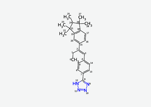 CCC(=Cc1ccc(-c2nnn[nH]2)cc1)c1ccc2c(c1)C(C)(C)C(C)C2(C)C